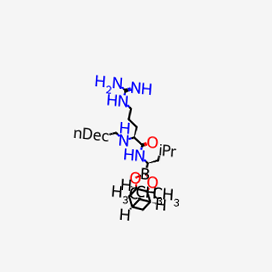 CCCCCCCCCCCN[C@@H](CCCNC(=N)N)C(=O)N[C@@H](CC(C)C)B1O[C@@H]2C[C@@H]3C[C@@H](C3(C)C)[C@]2(C)O1